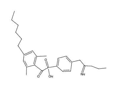 CCCCCCc1cc(C)c(C(=O)P(=O)(O)c2ccc(CC(=N)CCC)cc2)c(C)c1